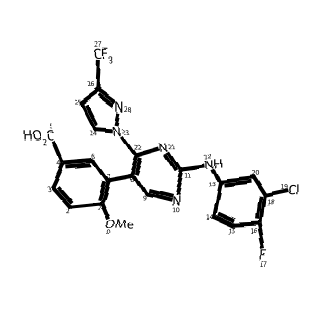 COc1ccc(C(=O)O)cc1-c1cnc(Nc2ccc(F)c(Cl)c2)nc1-n1ccc(C(F)(F)F)n1